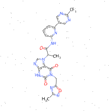 Cc1noc(Cn2c(=O)[nH]c3ncn(C(C)C(=O)Nc4cccc(-c5cnc(C(F)(F)F)nc5)n4)c3c2=O)n1